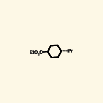 CCOC(=O)[C@H]1CC[C@H](C(C)C)CC1